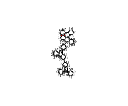 c1ccc(-c2ccccc2-c2c3ccccc3c(-c3ccc(-n4c5ccccc5c5cc(-c6ccc7c(c6)c6ccccc6n7-c6ccccc6)ccc54)cc3)c3ccccc23)cc1